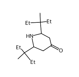 CCC(C)(CC)C1CC(=O)CC(C(C)(CC)CC)N1